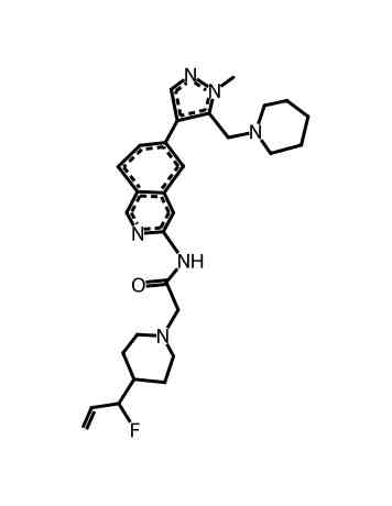 C=CC(F)C1CCN(CC(=O)Nc2cc3cc(-c4cnn(C)c4CN4CCCCC4)ccc3cn2)CC1